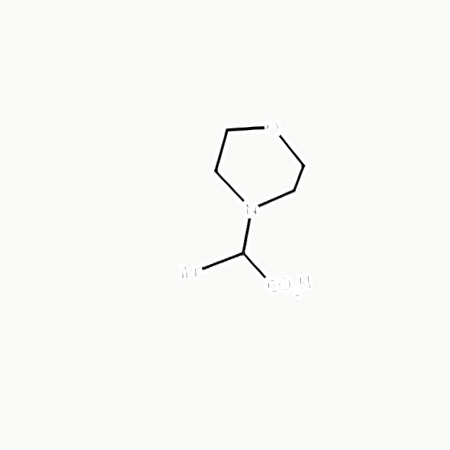 CC(C)C(C(=O)O)N1CCOCC1